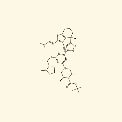 C[C@H](Oc1cc(N2C[C@H](C)N(C(=O)OC(C)(C)C)[C@@H](C)C2)nc(-c2cc([C@@]3(C)CCCc4sc(/N=C/N(C)C)c(C#N)c43)on2)n1)[C@@H]1CCCN1C